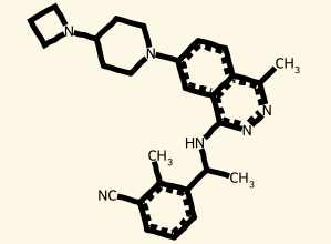 Cc1c(C#N)cccc1C(C)Nc1nnc(C)c2ccc(N3CCC(N4CCC4)CC3)cc12